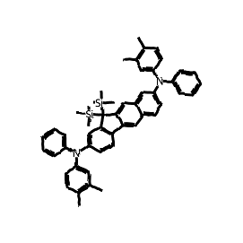 Cc1ccc(N(c2ccccc2)c2ccc3c(c2)C([Si](C)(C)C)([Si](C)(C)C)c2cc4cc(N(c5ccccc5)c5ccc(C)c(C)c5)ccc4cc2-3)cc1C